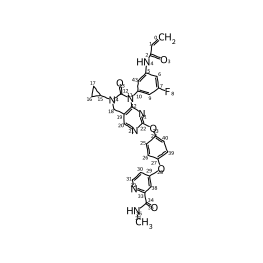 C=CC(=O)Nc1cc(F)cc(N2C(=O)N(C3CC3)Cc3cnc(Oc4ccc(Oc5ccnc(C(=O)NC)c5)cc4)nc32)c1